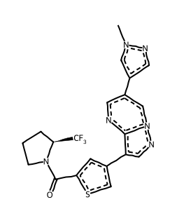 Cn1cc(-c2cnc3c(-c4csc(C(=O)N5CCC[C@H]5C(F)(F)F)c4)cnn3c2)cn1